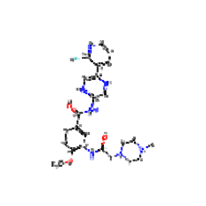 CN1CCN(CC(=O)Nc2cc(C(=O)Nc3cnc(-c4cccnc4F)cn3)ccc2OC(F)(F)F)CC1